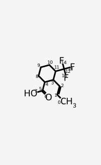 CC=CC1C(C(=O)O)CCCC1C(F)(F)F